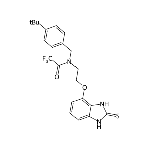 CC(C)(C)c1ccc(CN(CCOc2cccc3[nH]c(=S)[nH]c23)C(=O)C(F)(F)F)cc1